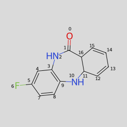 O=C1Nc2cc(F)ccc2NC2C=CC=CC12